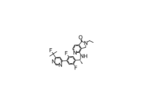 CCN1Cc2c(ccnc2N[C@@H](C)c2cc(F)c(-c3cc(C(C)(C)F)ncn3)cc2F)C1=O